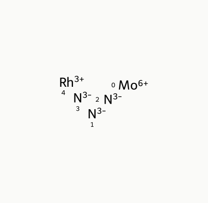 [Mo+6].[N-3].[N-3].[N-3].[Rh+3]